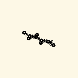 O=C(Oc1ccccc1)c1ccc(N=Nc2ccc(N=Nc3ccc(N=Nc4ccc(NCC5CCCCC5)c5ccccc45)c4ccccc34)c3ccccc23)cc1